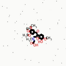 COc1cc(C(=O)c2c(CN(C)CC(=O)O)oc3c(O)c(OC)ccc23)cc(OC)c1OC